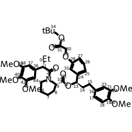 CC[C@H](C(=O)N1CCCC[C@H]1C(=O)O[C@H](CCc1ccc(OC)c(OC)c1)c1cccc(OCC(=O)OC(C)(C)C)c1)c1cc(OC)c(OC)c(OC)c1